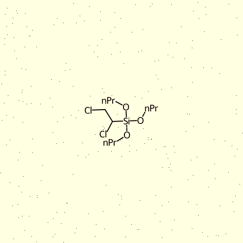 CCCO[Si](OCCC)(OCCC)C(Cl)CCl